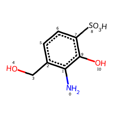 Nc1c(CO)ccc(S(=O)(=O)O)c1O